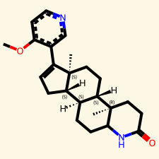 COc1ccncc1C1=CC[C@H]2[C@@H]3CCC4NC(=O)CC[C@]4(C)[C@H]3CC[C@]12C